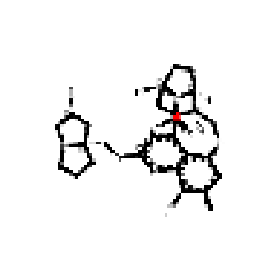 Cc1cc2c3c(nc(OC[C@]45CCCN4C[C@@H](F)C5)nc3c1F)N1C[C@@H]3CC[C@@H]([C@H]1CO2)N3C(=O)OC(C)(C)C